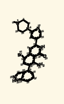 CN1CCN(c2cc(-c3nc4c(Br)cc(-c5cccc6[nH]ncc56)c(N)c4c(=O)[nH]3)ccn2)CC1